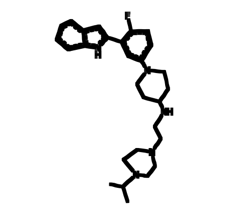 CC(C)N1CCN(CCNC2CCN(c3ccc(F)c(-c4cc5ccccc5[nH]4)c3)CC2)CC1